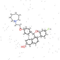 Oc1ccc2c3c(ccc2c1)-c1ccc(F)cc1OC3c1ccc(OCCN2CCCCCC2)cc1